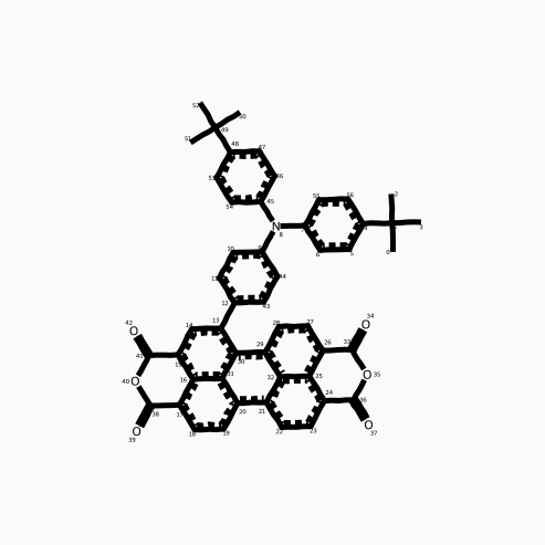 CC(C)(C)c1ccc(N(c2ccc(-c3cc4c5c(ccc6c7ccc8c9c(ccc(c3c56)c97)C(=O)OC8=O)C(=O)OC4=O)cc2)c2ccc(C(C)(C)C)cc2)cc1